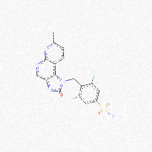 Cc1ccc2c(ncc3[nH]c(=O)n(Cc4c(F)cc(S(N)(=O)=O)cc4F)c32)n1